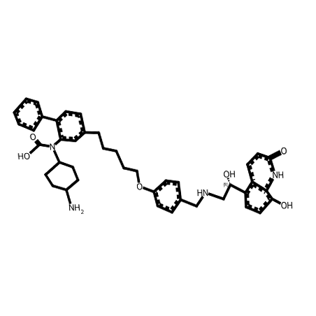 NC1CCC(N(C(=O)O)c2cc(CCCCCOc3ccc(CNC[C@H](O)c4ccc(O)c5[nH]c(=O)ccc45)cc3)ccc2-c2ccccc2)CC1